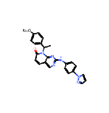 COc1ccc(C(C)n2c(=O)ccc3cnc(Nc4ccc(-n5cccn5)cc4)nc32)cc1